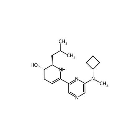 CC(C)C[C@H]1NC(c2cncc(N(C)C3CCC3)n2)=CC[C@@H]1O